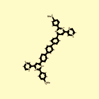 COc1ccc(-c2nc(-c3ccc(-c4ccc(-c5ccc(-c6cc(-c7cnccn7)nc(-c7ccc(OC)cc7)n6)cc5)cc4)cc3)cc(-c3cnccn3)n2)cc1